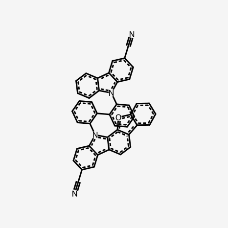 N#Cc1ccc2c(c1)c1ccccc1n2-c1ccccc1-c1ccccc1-n1c2ccc(C#N)cc2c2ccc3c4ccccc4oc3c21